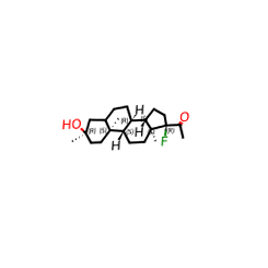 CC(=O)[C@@]1(F)CC[C@H]2[C@@H]3CCC4C[C@](C)(O)CC[C@]4(C)[C@H]3CC[C@@]21C